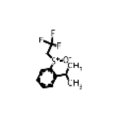 CC(C)c1ccccc1[S+]([O-])CC(F)(F)F